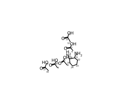 CC(=O)O.CC(=O)O.CC(=O)O.CC(=O)O.CC(=O)O.NC1CCCCC1N